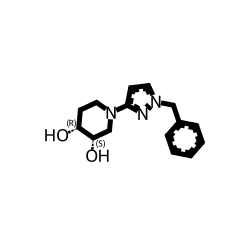 O[C@@H]1CCN(c2ccn(Cc3ccccc3)n2)C[C@@H]1O